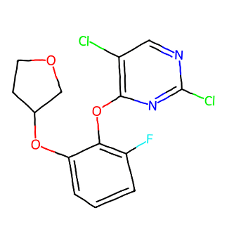 Fc1cccc(OC2CCOC2)c1Oc1nc(Cl)ncc1Cl